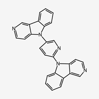 c1ccc2c(c1)c1cnccc1n2-c1ccc(-n2c3ccccc3c3cnccc32)nc1